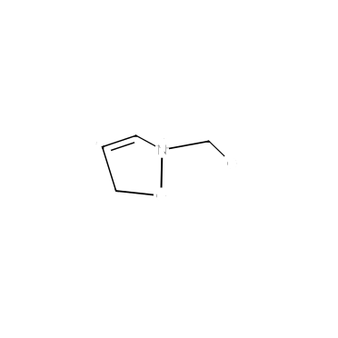 [O]CN1C=CCO1